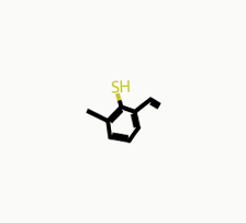 C=Cc1cccc(C)c1S